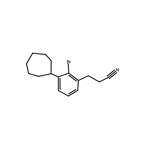 N#CCCc1cccc(C2CCCCCC2)c1Br